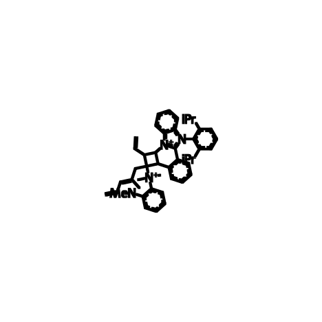 C=C/C=C(\C)CC1([N+](C)(C)c2ccccc2NC)C(C=C)C2C1c1ccccc1-c1n(-c3c(C(C)C)cccc3C(C)C)c3ccccc3[n+]12